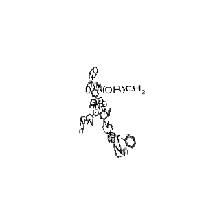 CC(C)c1ccccc1[C@@H]1CCCN1C1CC2(CCN(c3cnc(C(=O)NS(=O)(=O)c4cc5c(c(N(C)O)c4)N[C@@H](CN4CCOCC4)CO5)c(Oc4cnc5[nH]ccc5c4)c3)CC2)C1